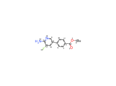 CC(C)(C)OC(=O)c1ccc(-c2cnc(N)c(F)c2)cc1